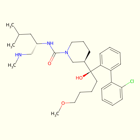 CNC[C@H](CC(C)C)NC(=O)N1CCC[C@@H]([C@@](O)(CCCCOC)c2ccccc2-c2ccccc2Cl)C1